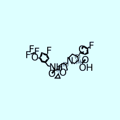 O=C(O)[C@@H]1CN([C@@H]2CC[C@@](C(=O)NCc3cc(F)cc(OC(F)(F)F)c3)(C3CC3)OC2)CC[C@H]1c1ccc(F)cc1